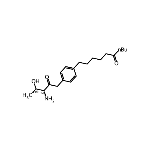 CCCCC(=O)CCCCCc1ccc(CC(=O)[C@@H](N)[C@@H](C)O)cc1